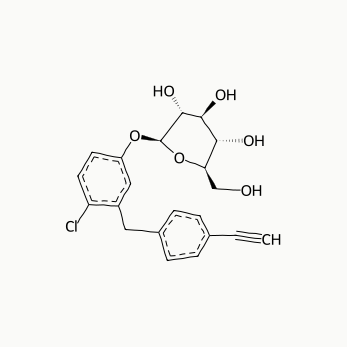 C#Cc1ccc(Cc2cc(O[C@@H]3O[C@H](CO)[C@@H](O)[C@H](O)[C@H]3O)ccc2Cl)cc1